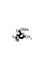 COC(=O)c1nc(C)ccc1I.[2H]O[2H]